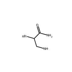 CCCC(C[NH])C(N)=O